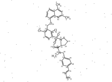 Cc1cc(C)c2cccc(OCc3c(Cl)ccc(S(=O)(=O)N4CCC[C@H]4C(=O)N(C)Cc4ccc(C=NN)cc4)c3Cl)c2n1